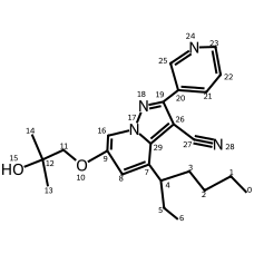 CCCCC(CC)c1cc(OCC(C)(C)O)cn2nc(-c3cccnc3)c(C#N)c12